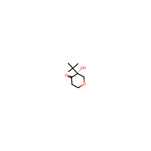 CC(C)(C)[C@@]1(O)COCCC1=O